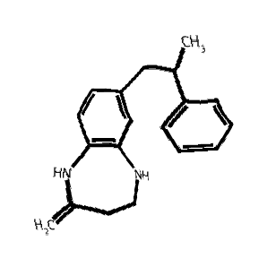 C=C1CCNc2cc(CC(C)c3ccccc3)ccc2N1